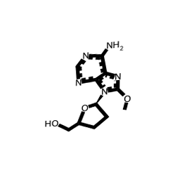 COc1nc2c(N)ncnc2n1[C@H]1CCC(CO)O1